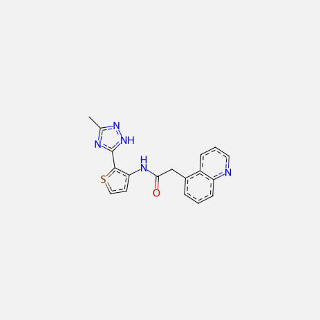 Cc1n[nH]c(-c2sccc2NC(=O)Cc2cccc3ncccc23)n1